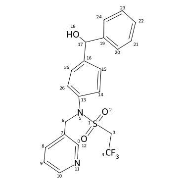 O=S(=O)(CC(F)(F)F)N(Cc1cccnc1)c1ccc(C(O)c2ccccc2)cc1